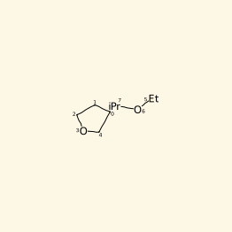 C1CCOC1.CCOC(C)C